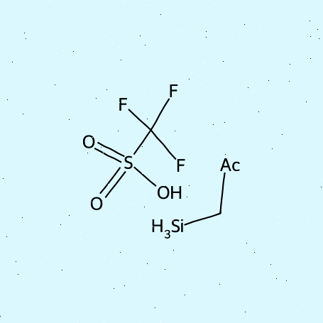 CC(=O)C[SiH3].O=S(=O)(O)C(F)(F)F